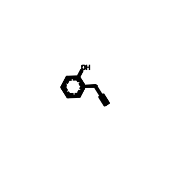 C#C[CH]c1ccccc1O